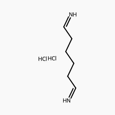 Cl.Cl.N=CCCCCC=N